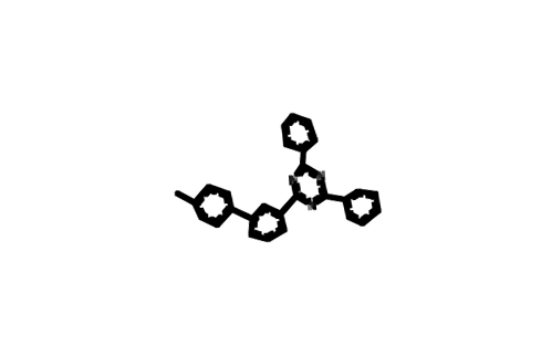 Cc1ccc(-c2cccc(-c3nc(-c4ccccc4)nc(-c4ccccc4)n3)c2)cc1